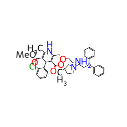 COC(=O)C1=C(C)NC(COCCN)=C(C(=O)OC2(C)CCN(CCC(c3ccccc3)c3ccccc3)C2)C1c1ccccc1Cl